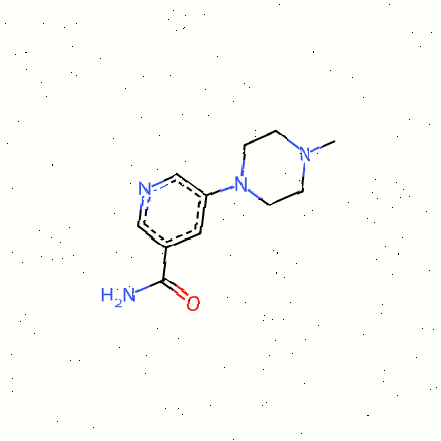 CN1CCN(c2cncc(C(N)=O)c2)CC1